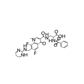 Cn1cc(C(=O)NCC(NS(=O)(=O)c2ccccc2)C(=O)O)c(=O)c2cc(F)c(CNC3N=CCCN3)c(F)c21